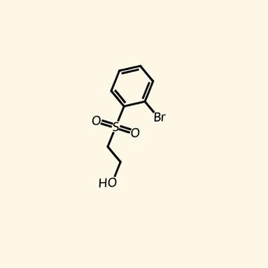 O=S(=O)(CCO)c1ccccc1Br